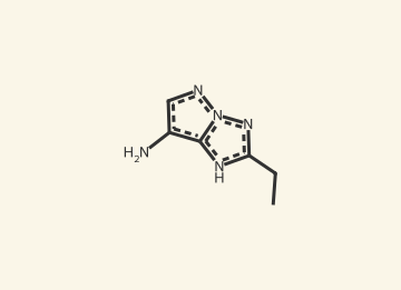 CCc1nn2ncc(N)c2[nH]1